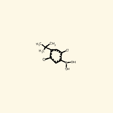 CC(C)(C)c1cc(Cl)c(B(O)O)cc1Cl